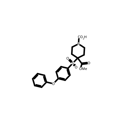 COC(=O)C1(S(=O)(=O)c2ccc(Oc3ccccc3)cc2)CCN(C(=O)O)CC1